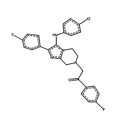 O=C(CN1CCn2c(nc(-c3ccc(F)cc3)c2Nc2ccc(Cl)cc2)C1)c1ccc(F)cc1